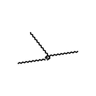 CCCCCCCCCCCCCCCCCc1cc[n+](CCCCCCCCCCCCCCCCC)cc1CCCCCCCCCCCCCCCCC